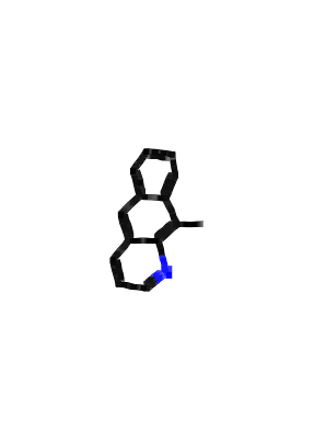 Cc1c2ccccc2cc2cccnc12